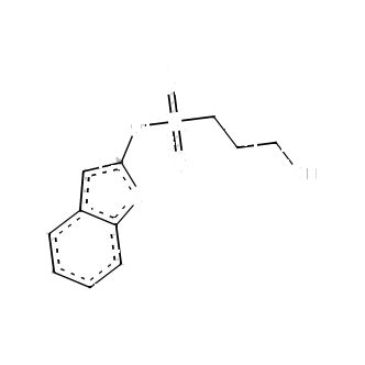 CCCCS(=O)(=O)Oc1cc2ccccc2o1